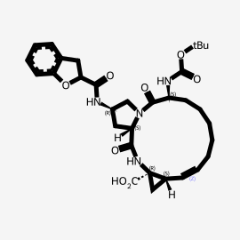 CC(C)(C)OC(=O)N[C@H]1CCCCC/C=C\[C@@H]2C[C@@]2(C(=O)O)NC(=O)[C@@H]2C[C@@H](NC(=O)C3Cc4ccccc4O3)CN2C1=O